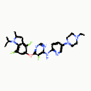 CCN1CCN(c2ccc(Nc3ncnc(Oc4cc(F)c5c(cc(C)n5C(C)C)c4F)c3F)nc2)CC1